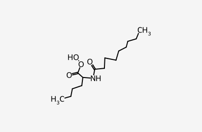 CCCCCCCCC(=O)NC(CCCC)C(=O)OO